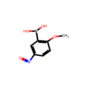 COc1ccc(N=O)cc1B(O)O